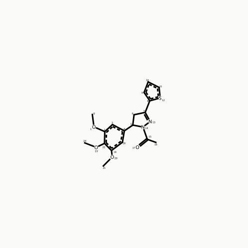 COc1cc(C2CC(c3cccs3)=NN2C(C)=O)cc(OC)c1OC